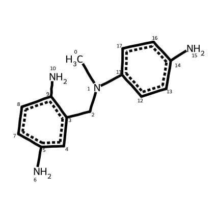 CN(Cc1cc(N)ccc1N)c1ccc(N)cc1